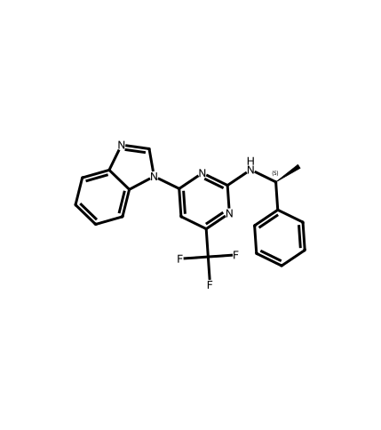 C[C@H](Nc1nc(-n2cnc3ccccc32)cc(C(F)(F)F)n1)c1ccccc1